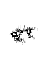 Cc1cc(C)nc(NC(=O)NS(=O)(=O)c2cccc3c2OC(C)(C)O3)n1